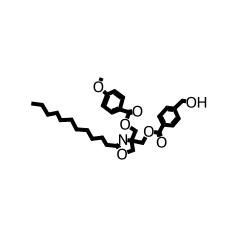 CCCCCCCCCCCC1=NC(COC(=O)c2ccc(CO)cc2)(COC(=O)c2ccc(OC)cc2)CO1